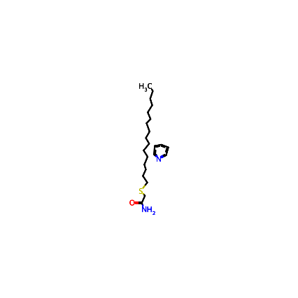 CCCCCCCCCCCCCCCCSCC(N)=O.c1ccncc1